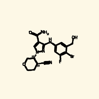 N#C[C@H]1CCOC[C@@H]1n1cc(C(N)=O)c(Nc2cc(F)c(Br)c(CO)c2)n1